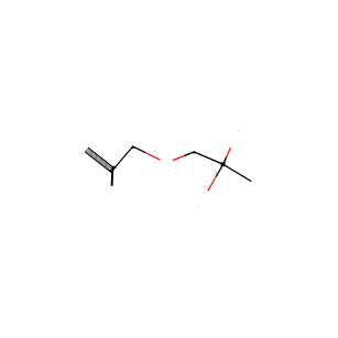 C=C(C)COCC(C)([O])O